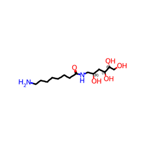 NCCCCCCCC(=O)NC[C@H](O)C[C@H](O)[C@H](O)CO